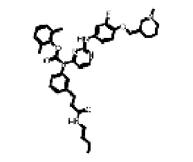 CCCCNC(=O)CCc1cccc(N(C(=O)Oc2c(C)cccc2C)c2ccnc(Nc3ccc(OCC4CCCN(C)C4)c(F)c3)n2)c1